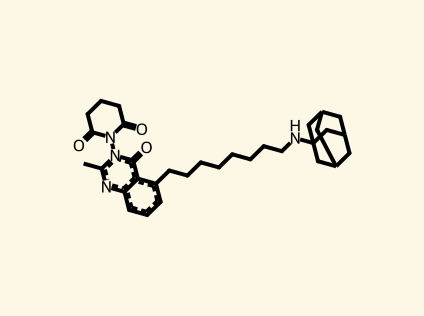 Cc1nc2cccc(CCCCCCCCNC34CC5CC(CC(C5)C3)C4)c2c(=O)n1N1C(=O)CCCC1=O